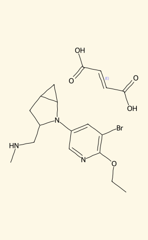 CCOc1ncc(N2C(CNC)CC3CC32)cc1Br.O=C(O)/C=C/C(=O)O